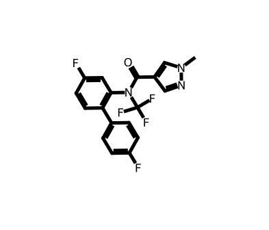 Cn1cc(C(=O)N(c2cc(F)ccc2-c2ccc(F)cc2)C(F)(F)F)cn1